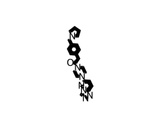 O=C(Cc1ccc(CN2CCCC2)cc1)N1CCN(c2ccc3nncn3n2)CC1